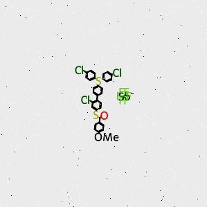 COc1ccc(C(=O)Sc2ccc(-c3ccc([S+](c4ccc(Cl)cc4)c4ccc(Cl)cc4)cc3)c(Cl)c2)cc1.[F][Sb-]([F])([F])([F])([F])[F]